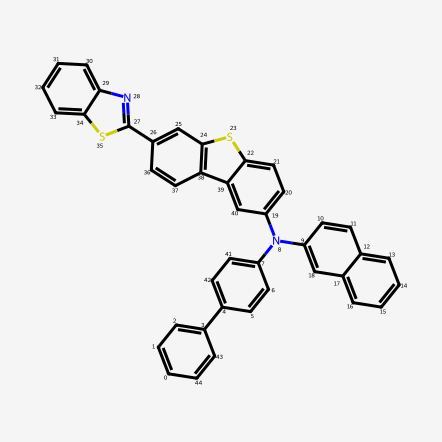 c1ccc(-c2ccc(N(c3ccc4ccccc4c3)c3ccc4sc5cc(-c6nc7ccccc7s6)ccc5c4c3)cc2)cc1